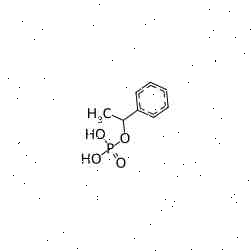 CC(OP(=O)(O)O)c1ccccc1